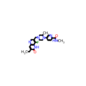 CCc1cc2ncc(CN3CCN(c4ccc(C(=O)NC)nc4)C(C)C3)c(F)c2[nH]c1=O